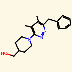 Cc1c(Cc2ccccc2)nnc(N2CCC(CO)CC2)c1C